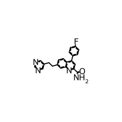 NC(=O)c1cc(-c2ccc(F)cc2)c2ccc(CCc3cncnc3)cc2n1